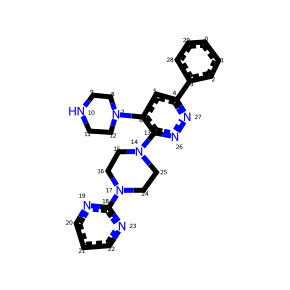 c1ccc(-c2cc(N3CCNCC3)c(N3CCN(c4ncccn4)CC3)nn2)cc1